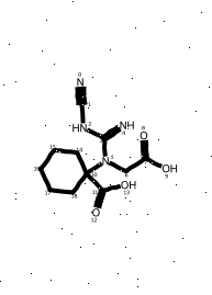 N#CNC(=N)N(CC(=O)O)C1(C(=O)O)CCCCC1